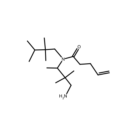 C=CCCC(=O)N(CC(C)(C)C(C)C)C(C)C(C)(C)CN